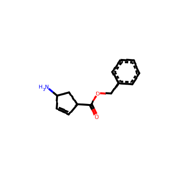 NC1C=CC(C(=O)OCc2ccccc2)C1